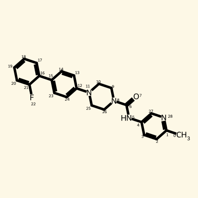 Cc1ccc(NC(=O)N2CCN(c3ccc(-c4ccccc4F)cc3)CC2)cn1